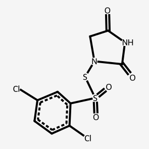 O=C1CN(SS(=O)(=O)c2cc(Cl)ccc2Cl)C(=O)N1